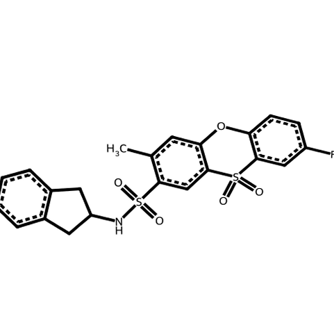 Cc1cc2c(cc1S(=O)(=O)NC1Cc3ccccc3C1)S(=O)(=O)c1cc(F)ccc1O2